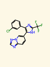 FC(F)(F)c1nc(-c2cccc(Cl)c2)c(-c2ccc3ncnn3c2)[nH]1